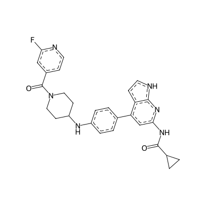 O=C(Nc1cc(-c2ccc(NC3CCN(C(=O)c4ccnc(F)c4)CC3)cc2)c2cc[nH]c2n1)C1CC1